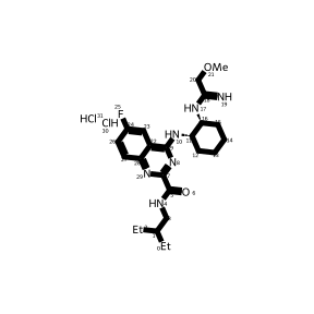 CCC(CC)CNC(=O)c1nc(N[C@H]2CCCC[C@H]2NC(=N)COC)c2cc(F)ccc2n1.Cl.Cl